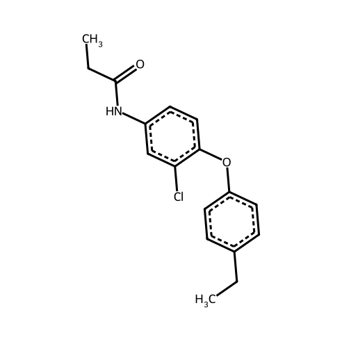 CCC(=O)Nc1ccc(Oc2ccc(CC)cc2)c(Cl)c1